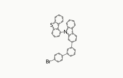 Brc1ccc(-c2cccc(-c3ccc4c5ccccc5n(-c5cccc6sc7ccccc7c56)c4c3)c2)cc1